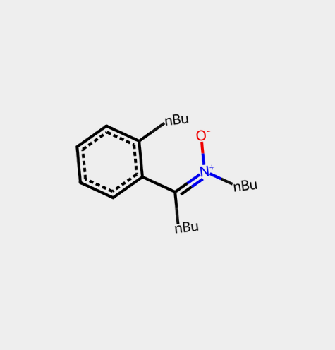 CCCCC(c1ccccc1CCCC)=[N+]([O-])CCCC